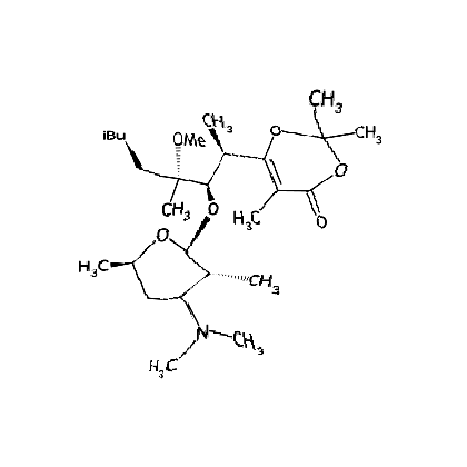 CC[C@H](C)C[C@@](C)(OC)[C@H](O[C@@H]1O[C@H](C)CC(N(C)C)[C@H]1C)[C@@H](C)C1=C(C)C(=O)OC(C)(C)O1